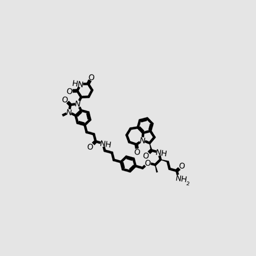 C[C@@H](OCc1ccc(CCCNC(=O)CCc2ccc3c(c2)n(C)c(=O)n3C2CCC(=O)NC2=O)cc1)[C@H](CCC(N)=O)NC(=O)[C@@H]1Cc2cccc3c2N1C(=O)CCC3